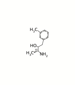 Cc1cccc(CC(O)[C@H](C)N)c1